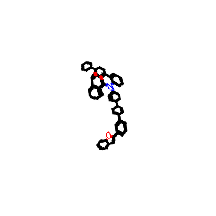 c1ccc(-c2ccc(-c3ccccc3N(c3ccc(-c4ccc(-c5cccc(-c6cc7ccccc7o6)c5)cc4)cc3)c3cccc4ccccc34)cc2)cc1